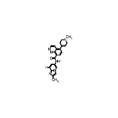 Cc1cn2cc(NC(=O)c3ccc(C4CCN(C)CC4)c4ccnnc34)cc(F)c2n1